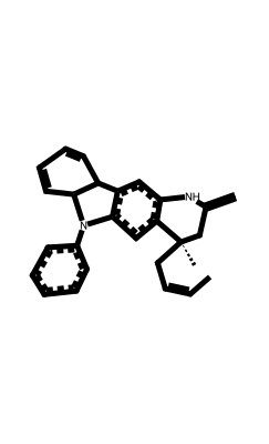 C=C1C[C@@](C)(C/C=C\C)c2cc3c(cc2N1)C1C=CC=CC1N3c1ccccc1